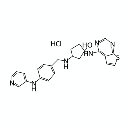 Cl.OC1(Nc2ncnc3sccc23)CCC(NCc2ccc(Nc3cccnc3)cc2)C1